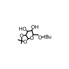 CC(C)(C)OCC1OC2OC(C)(C)OC2C(O)C1O